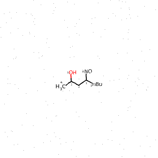 CCCCC(CC(C)O)N=O